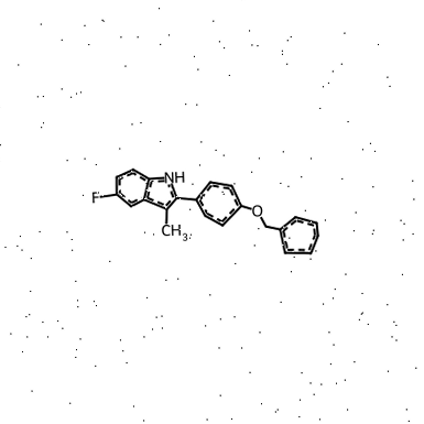 Cc1c(-c2ccc(OCc3ccccc3)cc2)[nH]c2ccc(F)cc12